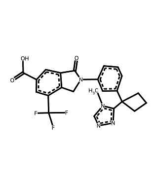 Cn1cnnc1C1(c2cccc(N3Cc4c(cc(C(=O)O)cc4C(F)(F)F)C3=O)c2)CCC1